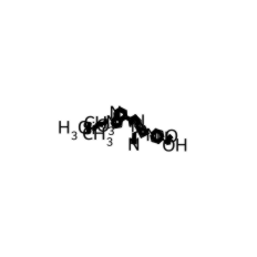 C[Si](C)(C)CCOCn1ccc2c(-c3cnn([C@]4(CC#N)C[C@H](N5CCN(C(=O)O)CC5)C4)c3)ccnc21